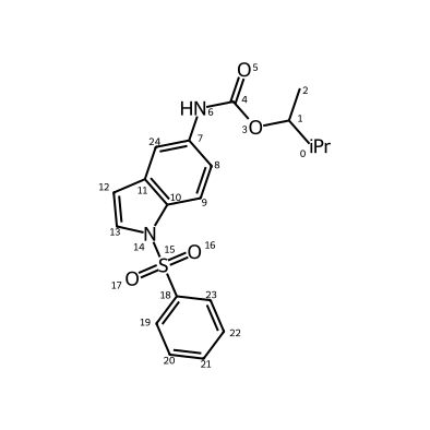 CC(C)C(C)OC(=O)Nc1ccc2c(ccn2S(=O)(=O)c2ccccc2)c1